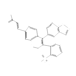 CCC(=C(c1ccc(C=CC(=O)O)cc1)c1ccc2[nH]ncc2c1)c1ccccc1S(C)(=O)=O